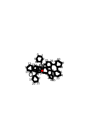 c1ccc(N(c2ccc3c(c2)-c2ccccc2Oc2ccccc2-3)c2ccc3c(c2)C2(c4ccccc4-c4ccccc4-3)c3ccccc3-c3cc4c(cc32)oc2ccccc24)cc1